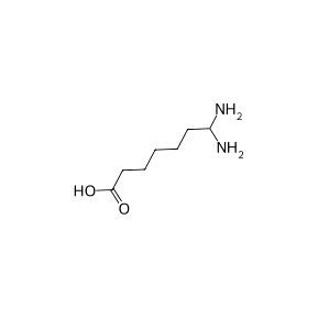 NC(N)CCCCCC(=O)O